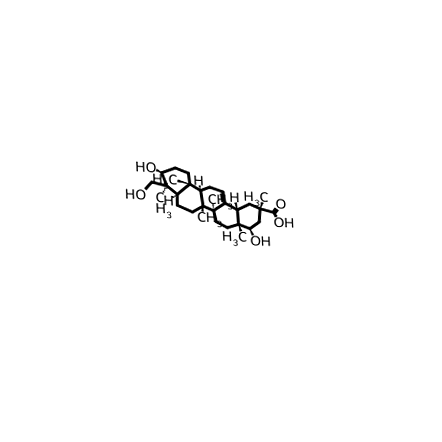 C[C@@]1(C(=O)O)C[C@@H](O)[C@]2(C)CC[C@]3(C)C(=CC[C@@H]4[C@@]5(C)CC[C@H](O)[C@](C)(CO)[C@@H]5CC[C@]43C)[C@@H]2C1